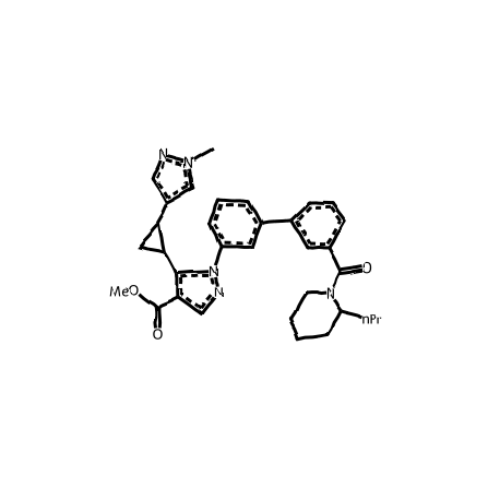 CCCC1CCCCN1C(=O)c1cccc(-c2cccc(-n3ncc(C(=O)OC)c3C3CC3c3cnn(C)c3)c2)c1